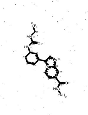 NNC(=O)c1ccn2c(C3=CC(NC(=O)NCC(F)(F)F)CC=C3)cnc2c1